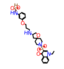 CCn1cc(S(=O)(=O)N2CCC3(CC2)C[C@@H](NCCCOc2cccc(N[SH](=O)=O)c2)CO3)c(=O)c2ccccc21